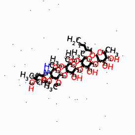 C=CCCCO[C@@H]1OC(C)[C@H](O)C(O)C1O[C@@H]1OC(C)[C@H](O)C(O[C@@H]2OC(C)[C@H](O)C(O[C@@H]3OC(C)[C@@H](NC(=O)CC(C)(C)O)C(O)C3OC)C2O)C1O